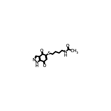 CC(=O)NCCCCSC1=CC(=O)c2[nH]ncc2C1=O